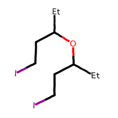 CCC(CCI)OC(CC)CCI